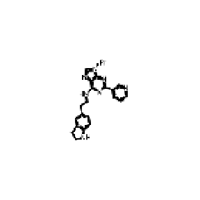 CC(C)n1cnc2c(NCCc3ccc4c(c3)CCN4)nc(-c3cccnc3)nc21